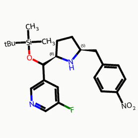 CC(C)(C)[Si](C)(C)OC(c1cncc(F)c1)[C@H]1CC[C@@H](Cc2ccc([N+](=O)[O-])cc2)N1